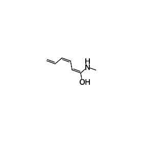 C=C/C=C\C=C(\O)NC